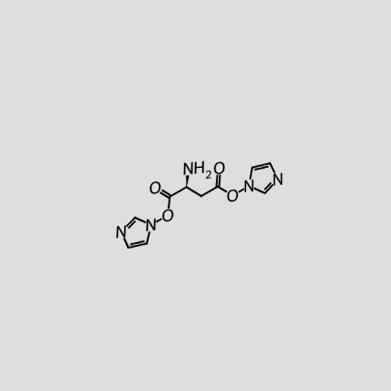 N[C@@H](CC(=O)On1ccnc1)C(=O)On1ccnc1